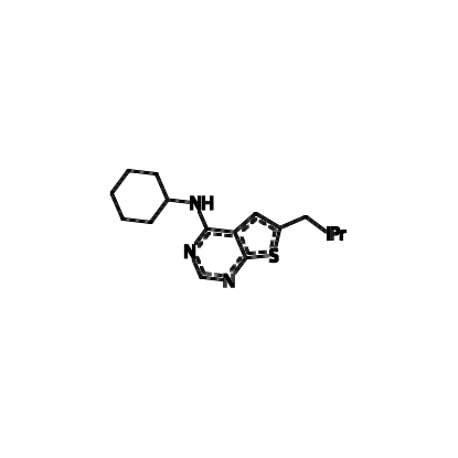 CC(C)Cc1cc2c(NC3CCCCC3)ncnc2s1